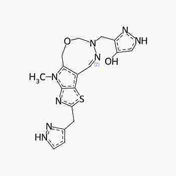 Cn1c2c(c3sc(Cc4cc[nH]n4)nc31)/C=N\N(Cc1n[nH]cc1O)COC2